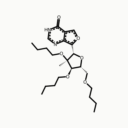 CCCCOC[C@H]1O[C@@H](c2occ3c(=O)[nH]cnc23)[C@](C)(OCCCC)[C@@H]1OCCCC